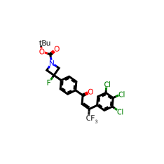 CC(C)(C)OC(=O)N1CC(F)(c2ccc(C(=O)C=C(c3cc(Cl)c(Cl)c(Cl)c3)C(F)(F)F)cc2)C1